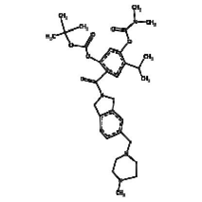 CC(C)c1cc(C(=O)N2Cc3ccc(CN4CCN(C)CC4)cc3C2)c(OC(=O)OC(C)(C)C)cc1OC(=O)N(C)C